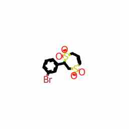 O=S1(=O)C=CCS(=O)(=O)C(c2cccc(Br)c2)C1